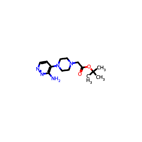 CC(C)(C)OC(=O)CN1CCN(c2ccnnc2N)CC1